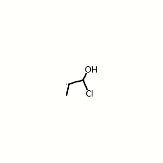 C[CH]C(O)Cl